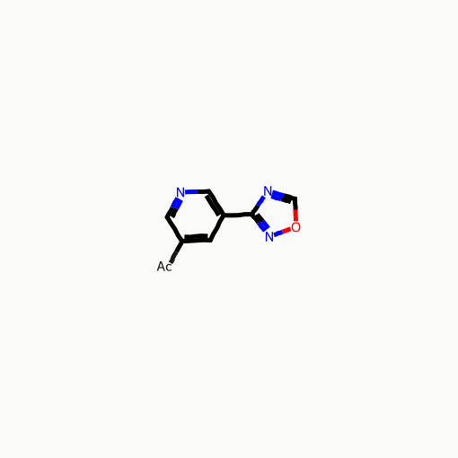 CC(=O)c1cncc(-c2ncon2)c1